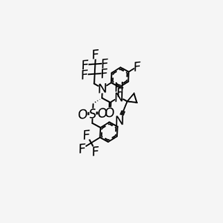 N#CC1(NC(=O)[C@H](CS(=O)(=O)Cc2ccccc2C(F)(F)F)N(CC(F)(F)C(F)(F)F)c2ccc(F)cc2F)CC1